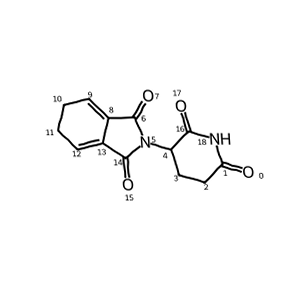 O=C1CCC(N2C(=O)C3=CCCC=C3C2=O)C(=O)N1